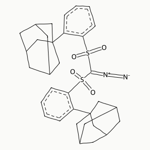 [N-]=[N+]=C(S(=O)(=O)c1ccccc1C12CC3CC(CC(C3)C1)C2)S(=O)(=O)c1ccccc1C12CC3CC(CC(C3)C1)C2